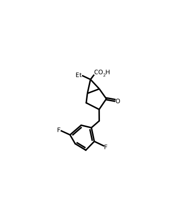 CCC1(C(=O)O)C2CC(Cc3cc(F)ccc3F)C(=O)C21